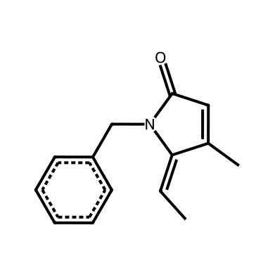 CC=C1C(C)=CC(=O)N1Cc1ccccc1